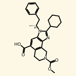 COC(=O)N1CCc2c(C(=O)O)cc3c(nc(C4CCCCC4)n3[C@H](C)Cc3ccccc3)c2C1